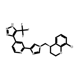 FC(F)(F)c1[nH]nnc1-c1ccnc(-c2cn(C[C@@H]3CCOc4c(Cl)cccc43)cn2)c1